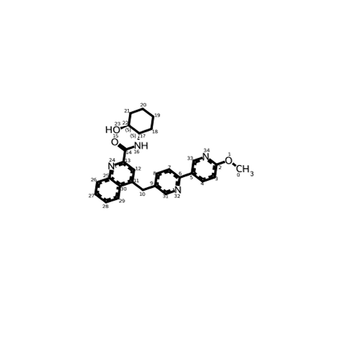 COc1ccc(-c2ccc(Cc3cc(C(=O)N[C@H]4CCCC[C@@H]4O)nc4ccccc34)cn2)cn1